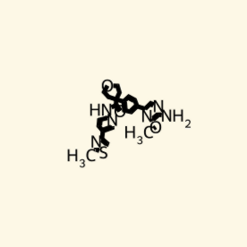 COc1nc(-c2ccc(C3(C(=O)Nc4ccc(-c5csc(C)n5)cn4)CCOCC3)cc2)cnc1N